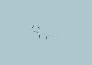 O=C(NCCCl)n1sc2ccccc2c1=O